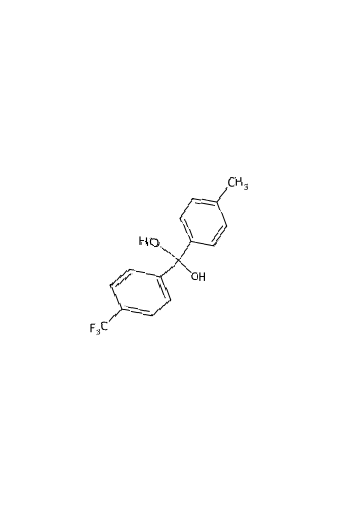 Cc1ccc(C(O)(O)c2ccc(C(F)(F)F)cc2)cc1